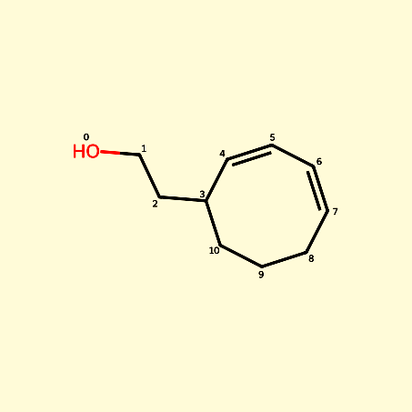 OCCC1C=CC=CCCC1